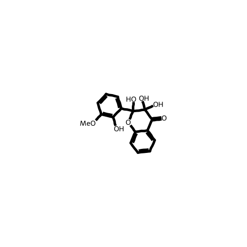 COc1cccc(C2(O)Oc3ccccc3C(=O)C2(O)O)c1O